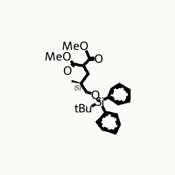 COC(=O)C(C[C@H](C)CO[Si](c1ccccc1)(c1ccccc1)C(C)(C)C)C(=O)OC